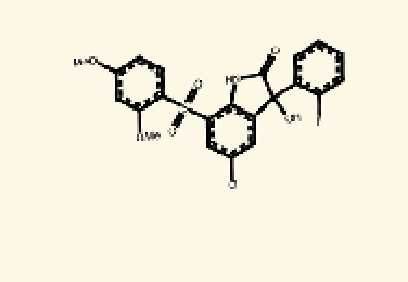 COc1ccc(S(=O)(=O)c2cc(Cl)cc3c2NC(=O)C3(O)c2ccccc2F)c(OC)c1